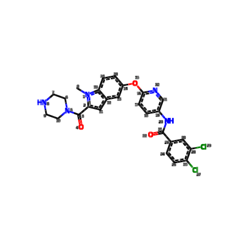 Cn1c(C(=O)N2CCNCC2)cc2cc(Oc3ccc(NC(=O)c4ccc(Cl)c(Cl)c4)cn3)ccc21